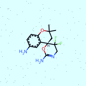 CC1(C)C[C@@]2(OC(N)=NCC2(F)F)c2cc(N)ccc2O1